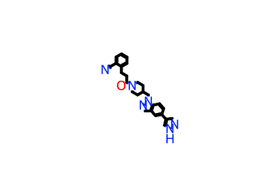 N#Cc1ccccc1CCC(=O)N1CCC(Cn2ncc3cc(-c4cn[nH]c4)ccc32)CC1